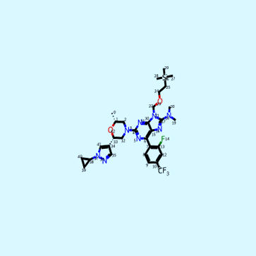 C[C@@H]1CN(c2nc(-c3ccc(C(F)(F)F)cc3F)c3nc(N(C)C)n(COCC[Si](C)(C)C)c3n2)C[C@H](c2cnn(C3CC3)c2)O1